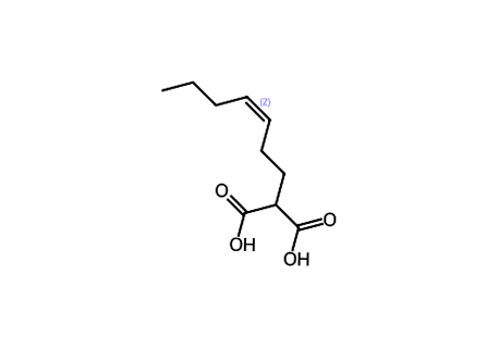 CCC/C=C\CCC(C(=O)O)C(=O)O